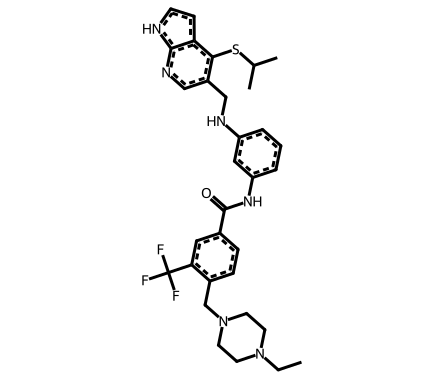 CCN1CCN(Cc2ccc(C(=O)Nc3cccc(NCc4cnc5[nH]ccc5c4SC(C)C)c3)cc2C(F)(F)F)CC1